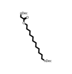 CCCCCCCCCCCCCCCCCCCCCCOC(=O)CCCCCCCCCCC